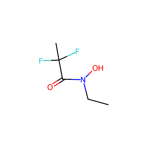 CCN(O)C(=O)C(C)(F)F